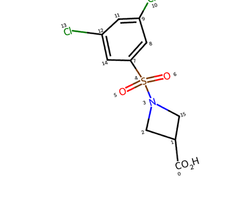 O=C(O)C1CN(S(=O)(=O)c2cc(Cl)cc(Cl)c2)C1